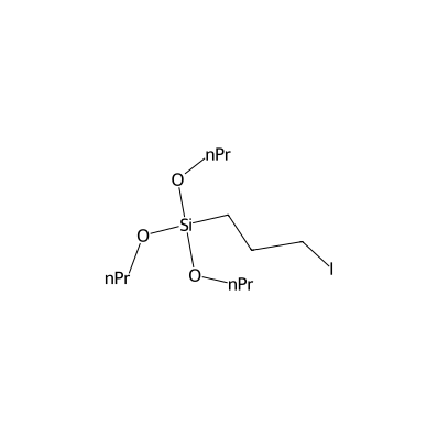 CCCO[Si](CCCI)(OCCC)OCCC